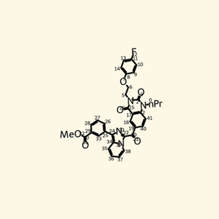 CCCn1c(=O)n(CCOc2ccc(F)cc2)c(=O)c2cc(C(=O)c3nc(-c4cccc(C(=O)OC)c4)c4ccccn34)ccc21